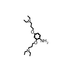 CCN(CC)CCCOc1ccc(N)c(OCCCN(CC)CC)c1